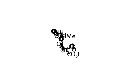 COc1cc(CC(=O)N(C)CC(=O)N(CCC(=O)O)CCN2CCCC2=O)ccc1NC(=O)Nc1ccccc1C